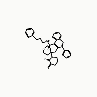 O=C1CCCN(C2(Cc3c(-c4ccccc4)nc4ccccc4c3C(=O)NCCCc3ccccc3)CCOCC2)C1=O